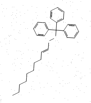 CCCCCCCCC=C[SiH2]OC(c1ccccc1)(c1ccccc1)c1ccccc1